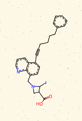 O=C(O)C1CN(Cc2ccc(C#CCCCCc3ccccc3)c3cccnc23)C1I